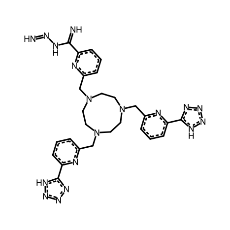 N=NNC(=N)c1cccc(CN2CCN(Cc3cccc(-c4nnn[nH]4)n3)CCN(Cc3cccc(-c4nnn[nH]4)n3)CC2)n1